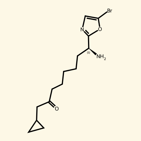 N[C@@H](CCCCCC(=O)CC1CC1)c1ncc(Br)o1